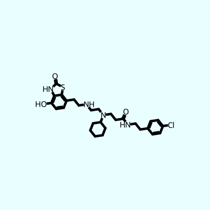 O=C(CCN(CCNCCc1ccc(O)c2[nH]c(=O)sc12)C1CCCCC1)NCCc1ccc(Cl)cc1